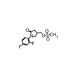 CS(=O)(=O)OCC1CC(=O)N(c2ccc(F)cc2F)C1